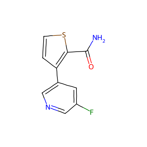 NC(=O)c1sccc1-c1cncc(F)c1